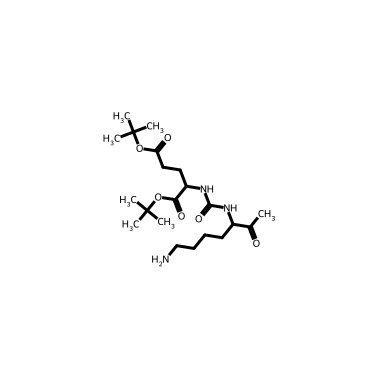 CC(=O)C(CCCCN)NC(=O)NC(CCC(=O)OC(C)(C)C)C(=O)OC(C)(C)C